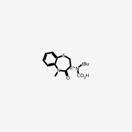 CN1C(=O)[C@@H](N(C(=O)O)C(C)(C)C)CSc2ccccc21